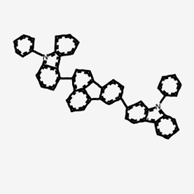 c1ccc(-n2c3ccccc3c3ccc(-c4ccc5c(c4)-c4cccc6c(-c7cccc8c7c7ccccc7n8-c7ccccc7)ccc-5c46)cc32)cc1